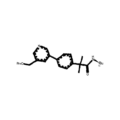 CC[C@H](C)NC(=O)C(C)(C)c1ccc(-c2cncc(COC)c2)cc1